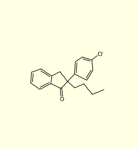 CCCCC1(c2ccc(Cl)cc2)Cc2ccccc2C1=O